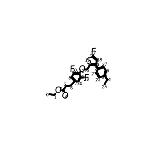 CCOC(=O)CCc1cc(F)c(OCc2sc(F)cc2-c2ccc(CC)cc2)c(F)c1